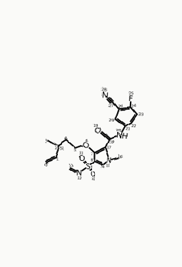 C=C[C@@H](C)CCOc1c(S(=O)(=O)N=C)cn(C)c1C(=O)Nc1ccc(F)c(C#N)c1